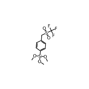 CO[Si](OC)(OC)c1ccc(CS(=O)(=O)C(F)(F)F)cc1